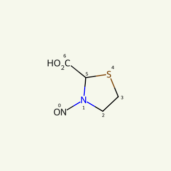 O=NN1CCSC1C(=O)O